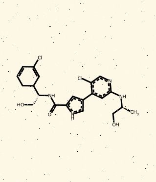 C[C@@H](CO)Nc1cc(-c2c[nH]c(C(=O)N[C@H](CO)C3C=C(Cl)C=CC3)c2)c(Cl)cn1